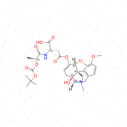 COc1ccc2c3c1O[C@H]1C(OC(=O)C[C@H](NC(=O)[C@H](C)OC(=O)OC(C)(C)C)C(=O)O)=CC[C@@]4(O)[C@@H](C2)N(C)CC[C@]314